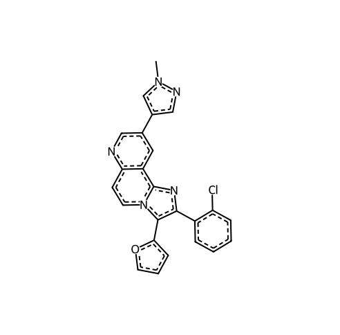 Cn1cc(-c2cnc3ccn4c(-c5ccco5)c(-c5ccccc5Cl)nc4c3c2)cn1